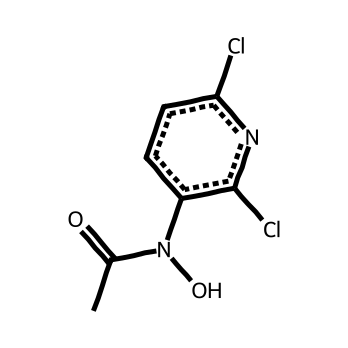 CC(=O)N(O)c1ccc(Cl)nc1Cl